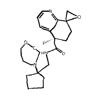 O=C(NCC1(N2CCOCC2)CCCCC1)[C@]1(F)CCC2(CO2)c2ncccc21